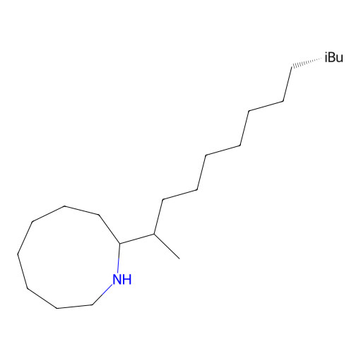 CC[C@@H](C)CCCCCCCC(C)C1CCCCCCCN1